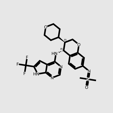 CS(C)(=O)=Nc1ccc2c(c1)OC[C@H](C1CCOCC1)[C@H]2Nc1ncnc2[nH]c(C(F)(F)F)cc12